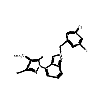 CCOC(=O)c1c(C)nn(-c2cccc3nn(Cc4cc(F)cc(Cl)c4)cc23)c1C